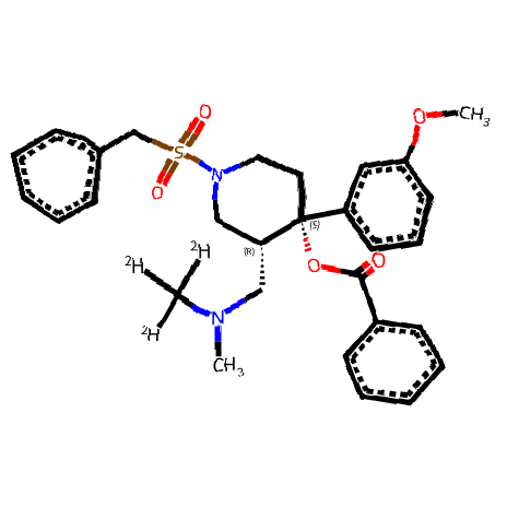 [2H]C([2H])([2H])N(C)C[C@@H]1CN(S(=O)(=O)Cc2ccccc2)CC[C@@]1(OC(=O)c1ccccc1)c1cccc(OC)c1